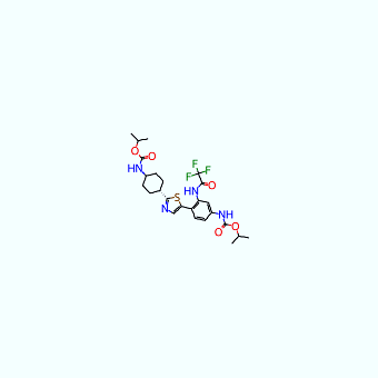 CC(C)OC(=O)Nc1ccc(-c2cnc([C@H]3CC[C@H](NC(=O)OC(C)C)CC3)s2)c(NC(=O)C(F)(F)F)c1